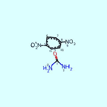 NC(N)=O.O=[N+]([O-])c1ccc([N+](=O)[O-])cc1